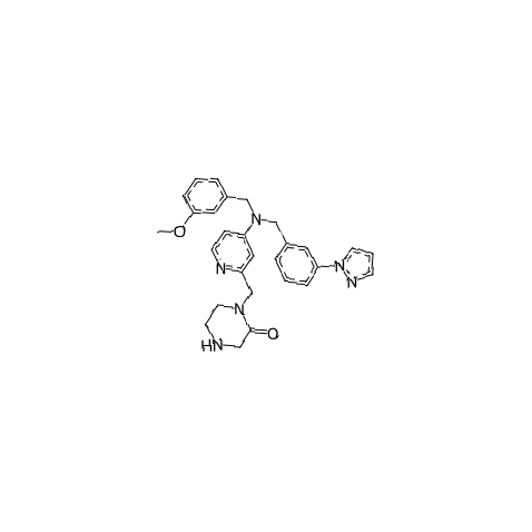 COc1cccc(CN(Cc2cccc(-n3cccn3)c2)c2ccnc(CN3CCNCC3=O)c2)c1